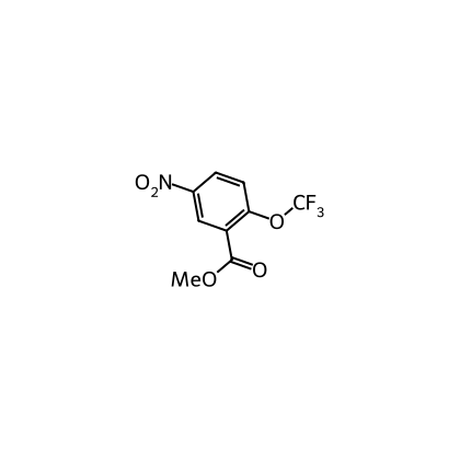 COC(=O)c1cc([N+](=O)[O-])ccc1OC(F)(F)F